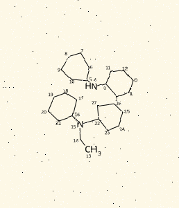 C1CCC(NC2CCCCC2)CC1.CCN(C1CCCCC1)C1CCCCC1